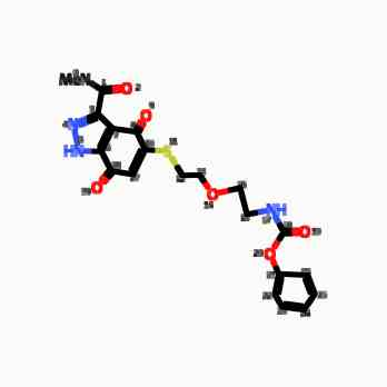 CNC(=O)c1n[nH]c2c1C(=O)C(SCCOCCNC(=O)Oc1ccccc1)=CC2=O